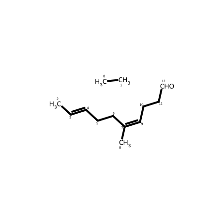 CC.CC=CCCC(C)=CCCC=O